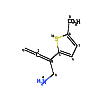 C=C=C(CN)c1ccc(C(=O)O)s1